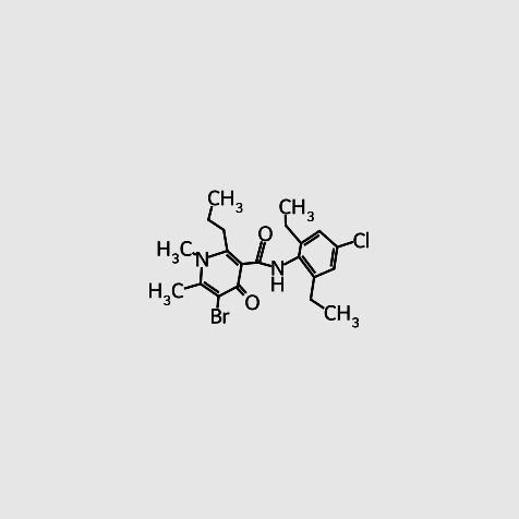 CCCc1c(C(=O)Nc2c(CC)cc(Cl)cc2CC)c(=O)c(Br)c(C)n1C